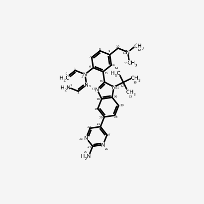 C=CN(/N=C\N)c1ccc(CN(C)C)cc1-c1nc2cc(-c3cnc(N)nc3)ccc2n1C(C)(C)C